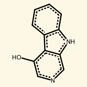 Oc1cncc2[nH]c3ccccc3c12